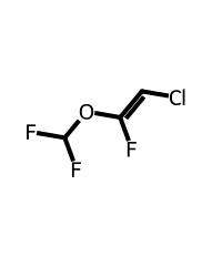 FC(=CCl)OC(F)F